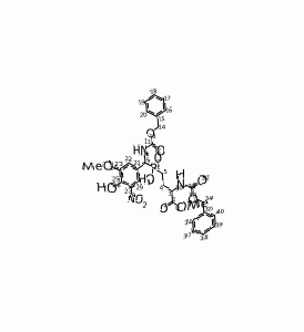 COC(=O)C(CCP(=O)(O)C(NC(=O)OCc1ccccc1)c1cc(OC)c(O)c([N+](=O)[O-])c1)NC(=O)OCc1ccccc1